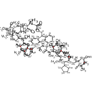 CC(C)C[C@H](NC(=O)[C@H](C)N(C)C(=O)OCC1c2ccccc2-c2ccccc21)C(=O)N(C)CC(=O)N(C)[C@@H](C)C(=O)N[C@@H](CC(C)C)C(=O)N(C)[C@@H](Cc1ccccc1)C(=O)N(C)[C@@H](C)C(=O)NCC(=O)N[C@@H](CC(C)C)C(=O)N(C)[C@@H](CC(C)C)C(=O)N(C)[C@@H](C)C(=O)N[C@@H](C)C(=O)N(C)[C@H](C(=O)CN[C@@H](CC(=O)O)C(=O)N(C)C)C1CCCC1